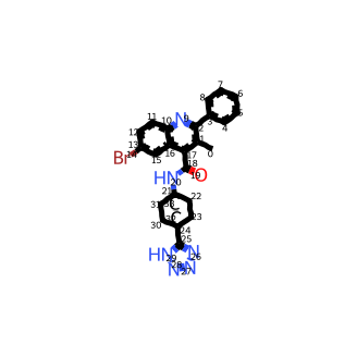 Cc1c(-c2ccccc2)nc2ccc(Br)cc2c1C(=O)NC12CCC(c3nnn[nH]3)(CC1)CC2